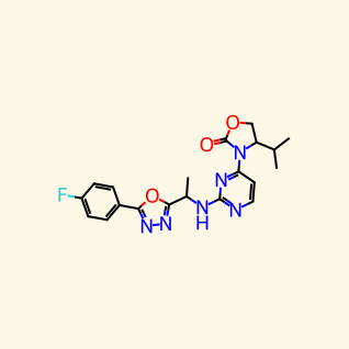 CC(Nc1nccc(N2C(=O)OCC2C(C)C)n1)c1nnc(-c2ccc(F)cc2)o1